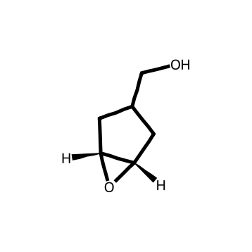 OCC1C[C@@H]2O[C@@H]2C1